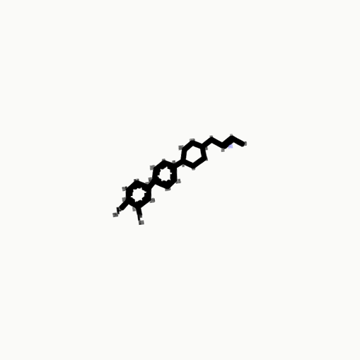 C/C=C/CC1CCC(c2ccc(-c3ccc(F)c(F)c3)cc2)CC1